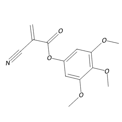 C=C(C#N)C(=O)Oc1cc(OC)c(OC)c(OC)c1